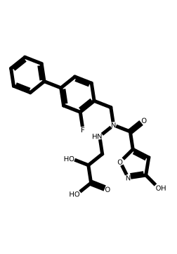 O=C(O)C(O)CNN(Cc1ccc(-c2ccccc2)cc1F)C(=O)c1cc(O)no1